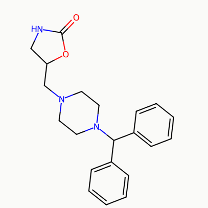 O=C1NCC(CN2CCN(C(c3ccccc3)c3ccccc3)CC2)O1